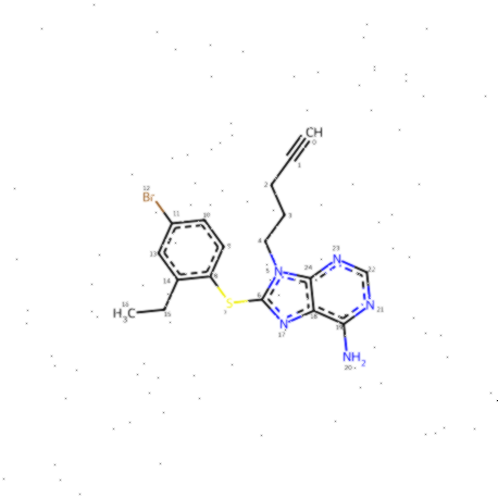 C#CCCCn1c(Sc2ccc(Br)cc2CC)nc2c(N)ncnc21